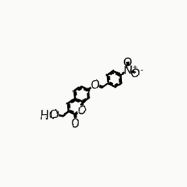 O=c1oc2cc(OCc3ccc([N+](=O)[O-])cc3)ccc2cc1CO